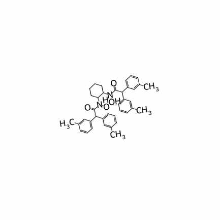 Cc1cccc(C(C(=O)N(O)C2CCCCC2N(O)C(=O)C(c2cccc(C)c2)c2cccc(C)c2)c2cccc(C)c2)c1